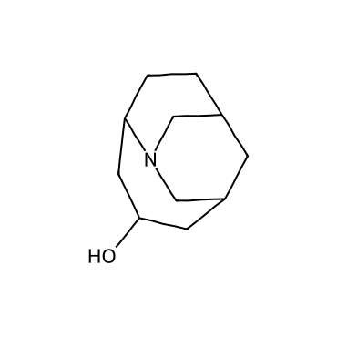 OC1CC2CC3CCC(C1)N(C3)C2